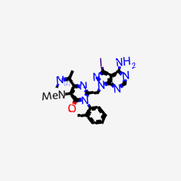 C/N=C(/C)c1nc(Cn2nc(I)c3c(N)ncnc32)n(-c2ccccc2C)c(=O)c1NC